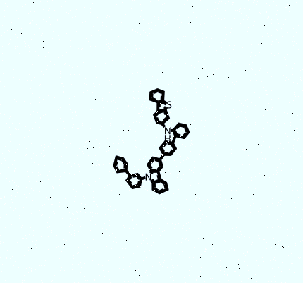 c1ccc(-c2cccc(-n3c4ccccc4c4cc(-c5ccc(-c6ccccc6Nc6ccc7c(c6)sc6ccccc67)cc5)ccc43)c2)cc1